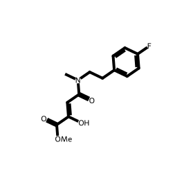 COC(=O)C(O)=CC(=O)N(C)CCc1ccc(F)cc1